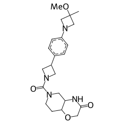 COC1(C)CN(c2ccc(C3CN(C(=O)N4CCC5OCC(=O)NC5C4)C3)cc2)C1